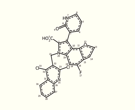 O=C(O)c1c(-c2ccc[nH]c2=O)c2c3occc3c(F)cc2n1Cc1c(Cl)nc2ccccc2c1Cl